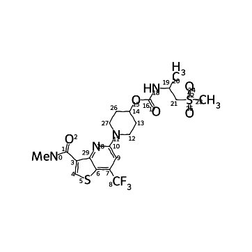 CNC(=O)c1csc2c(C(F)(F)F)cc(N3CCC(OC(=O)NC(C)CS(C)(=O)=O)CC3)nc12